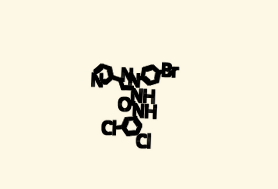 O=C(Nc1cc(Cl)cc(Cl)c1)Nc1cc(-c2cccnc2)nn1-c1ccc(Br)cc1